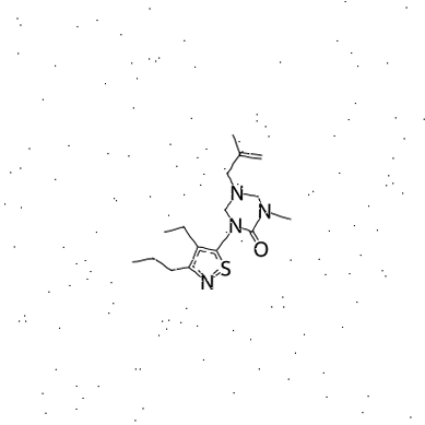 C=C(C)CN1CN(C)C(=O)N(c2snc(CCC)c2CC)C1